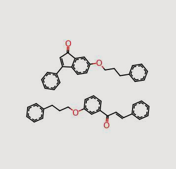 O=C(C=Cc1ccccc1)c1cccc(OCCCc2ccccc2)c1.O=C1C=C(c2ccccc2)c2ccc(OCCCc3ccccc3)cc21